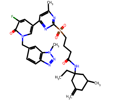 C=C1CC(C)CC(CC)(NC(=O)CCCS(=O)(=O)c2nc(C)cc(-c3cc(F)c(=O)n(Cc4ccc5nnn(C)c5c4)c3)n2)C1